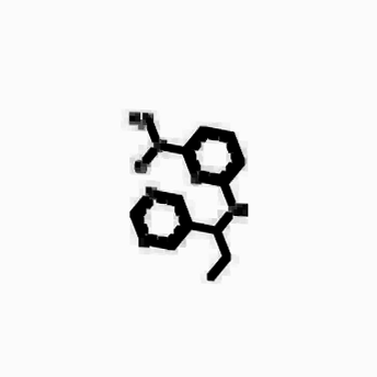 CCC(Nc1cccc([S+](N)[O-])n1)c1cncnc1